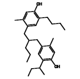 CCCCc1cc(CC(CCC)Cc2cc(C(C)CC)c(O)cc2C)c(C)cc1O